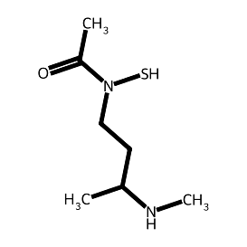 CNC(C)CCN(S)C(C)=O